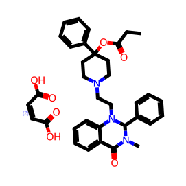 CCC(=O)OC1(c2ccccc2)CCN(CCN2c3ccccc3C(=O)N(C)C2c2ccccc2)CC1.O=C(O)/C=C\C(=O)O